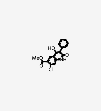 COC(=O)c1cc2c(O)c(-c3ccccc3)c(=O)[nH]c2cc1Cl